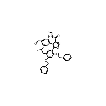 CCNC(=O)c1noc(-c2cc(CC(C)C)c(OCc3ccccc3)cc2OCc2ccccc2)c1-c1ccc(C=O)cc1